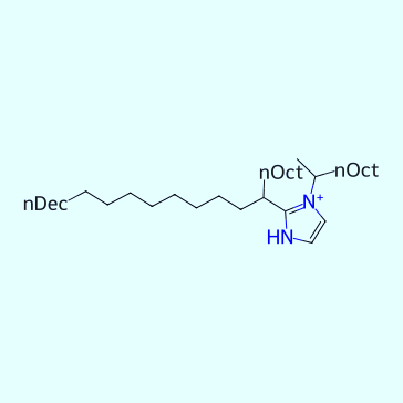 CCCCCCCCCCCCCCCCCCC(CCCCCCCC)c1[nH]cc[n+]1C(C)CCCCCCCC